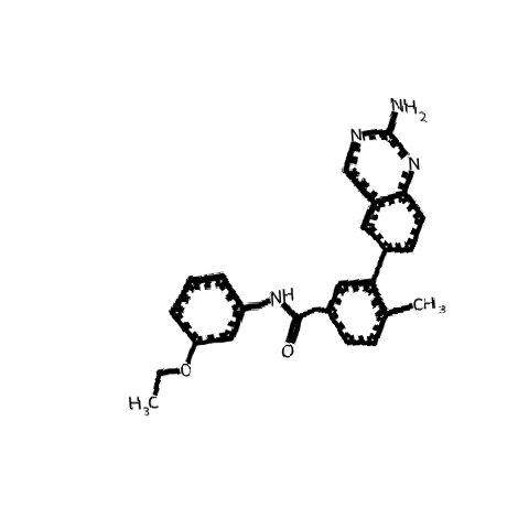 CCOc1cccc(NC(=O)c2ccc(C)c(-c3ccc4nc(N)ncc4c3)c2)c1